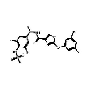 Cc1cc(Oc2nc(C(=O)N[C@H](C)c3cc(F)c(NS(C)(=O)=O)c(F)c3)co2)cc(C(C)C)c1